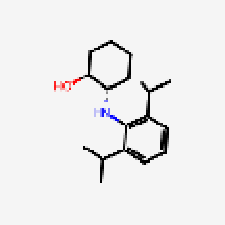 CC(C)c1cccc(C(C)C)c1N[C@H]1CCCC[C@@H]1O